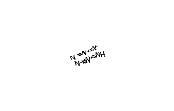 [N-]=[N+]=N.[N-]=[N+]=[N-]